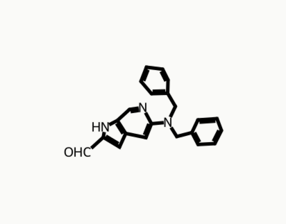 O=Cc1cc2cc(N(Cc3ccccc3)Cc3ccccc3)ncc2[nH]1